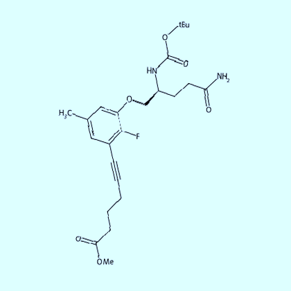 COC(=O)CCCC#Cc1cc(C)cc(OC[C@H](CCC(N)=O)NC(=O)OC(C)(C)C)c1F